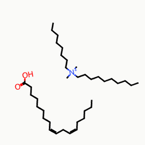 CCCCC/C=C\C/C=C\CCCCCCCC(=O)O.CCCCCCCCCC[N+](C)(C)CCCCCCCC